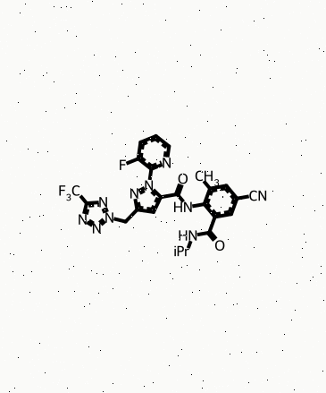 Cc1cc(C#N)cc(C(=O)NC(C)C)c1NC(=O)c1cc(Cn2nnc(C(F)(F)F)n2)nn1-c1ncccc1F